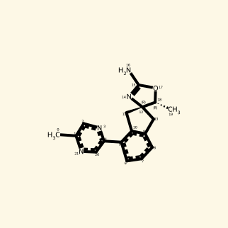 Cc1cnc(-c2cccc3c2C[C@@]2(C3)N=C(N)O[C@@H]2C)cn1